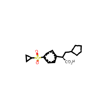 O=C(O)[C@H](CC1CCCC1)c1ccc(S(=O)(=O)C2CC2)cc1